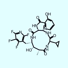 C[C@H]1NC(=O)C(C2CC2)NC(=O)[C@H](C)[C@H](O)[C@H](Cc2c(F)nc(F)c(F)c2F)NC(=O)[C@H]1NC(=O)c1ncccc1O